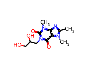 Cc1nc2c(c(=O)n(CC(O)CO)c(=O)n2C)n1C